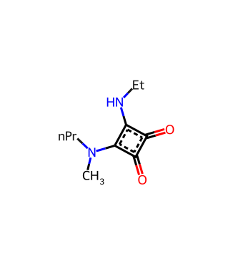 CCCN(C)c1c(NCC)c(=O)c1=O